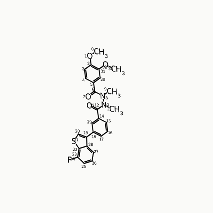 COc1ccc(C(=O)N(C)N(C)C(=O)c2cccc(-c3csc4c(F)cccc34)c2)cc1OC